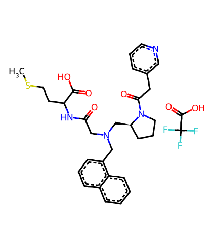 CSCCC(NC(=O)CN(Cc1cccc2ccccc12)C[C@@H]1CCCN1C(=O)Cc1cccnc1)C(=O)O.O=C(O)C(F)(F)F